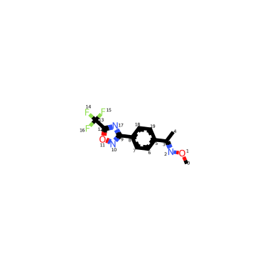 CO/N=C(\C)c1ccc(-c2noc(C(F)(F)F)n2)cc1